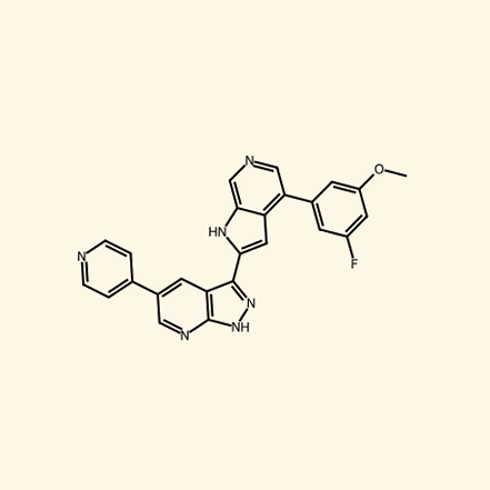 COc1cc(F)cc(-c2cncc3[nH]c(-c4n[nH]c5ncc(-c6ccncc6)cc45)cc23)c1